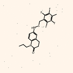 CCCN1C(=O)CCc2cc(NSCc3c(F)c(F)c(C)c(F)c3F)ccc21